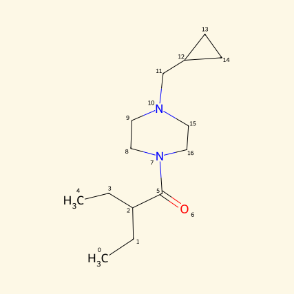 CCC(CC)C(=O)N1CCN(CC2CC2)CC1